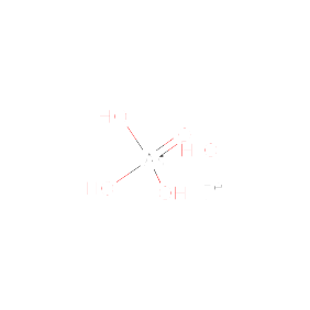 O.O=[As](O)(O)O.[Fe]